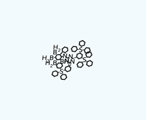 Bc1c(B)c(B)c2c(c1B)c1ccccc1n2-c1nc(-c2cccc(S(c3ccccc3)(c3ccccc3)c3ccccc3)c2)nc(-c2cc(S(c3ccccc3)(c3ccccc3)c3ccccc3)cc(S(c3ccccc3)(c3ccccc3)c3ccccc3)c2)n1